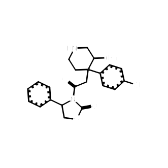 CC(C)(C)C1CNCCC1(CC(=O)N1C(=O)OCC1c1ccccc1)c1ccc(Cl)cc1